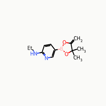 C=C1OB(c2ccc(NCC)nc2)OC1(C)C